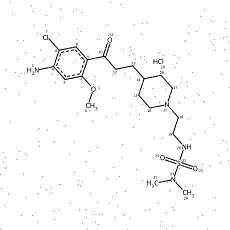 COc1cc(N)c(Cl)cc1C(=O)CCC1CCN(CCNS(=O)(=O)N(C)C)CC1.Cl